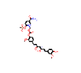 COc1cc(/C=C/C(O)=C/C(=O)/C=C/c2ccc(OC(=O)OC[n+]3cc(C(N)=O)ccc3OS(C)(=O)=O)c(OC)c2)ccc1O